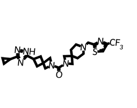 O=C(N1CC2(CCN(Cc3nc(C(F)(F)F)cs3)CC2)C1)N1CC2(CC(c3nc(C4CC4)n[nH]3)C2)C1